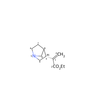 C=C(C(=O)OCC)[C@@H]1CN2CCC1C2